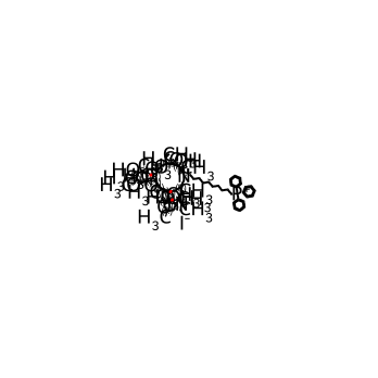 CC[C@H]1OC(=O)[C@H](C)[C@@H](O[C@H]2C[C@@](C)(OC)[C@@H](O)[C@H](C)O2)[C@H](C)[C@@H](O[C@@H]2O[C@H](C)C[C@H](N(C)C)[C@H]2O)[C@](C)(O)C[C@@H](C)CN(CCCCCCCCCC[P+](c2ccccc2)(c2ccccc2)c2ccccc2)[C@H](C)[C@@H](O)[C@]1(C)O.[I-]